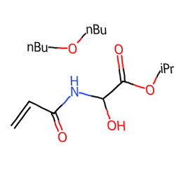 C=CC(=O)NC(O)C(=O)OC(C)C.CCCCOCCCC